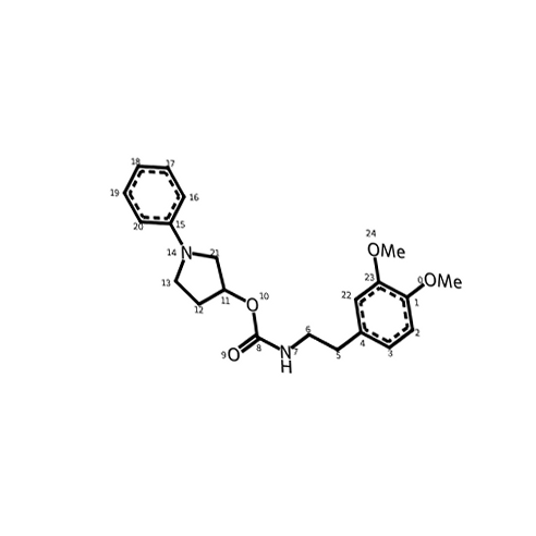 COc1ccc(CCNC(=O)OC2CCN(c3ccccc3)C2)cc1OC